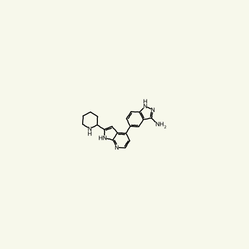 Nc1n[nH]c2ccc(-c3ccnc4[nH]c(C5CCCCN5)cc34)cc12